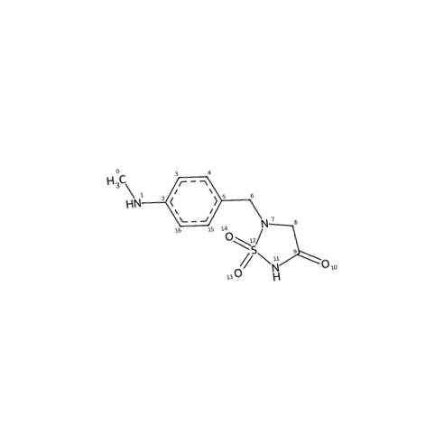 CNc1ccc(CN2CC(=O)NS2(=O)=O)cc1